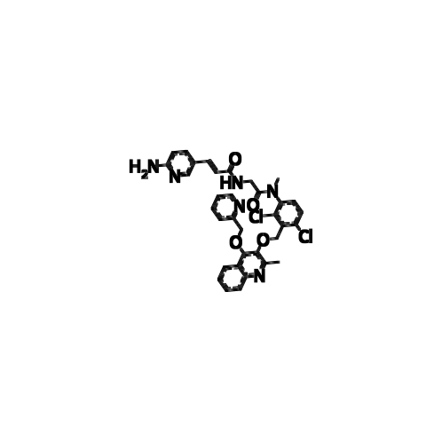 Cc1nc2ccccc2c(OCc2ccccn2)c1OCc1c(Cl)ccc(N(C)C(=O)CNC(=O)C=Cc2ccc(N)nc2)c1Cl